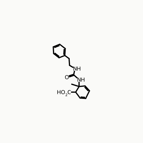 CC1(NC(=O)NCCc2ccccc2)C=CC=CC1C(=O)O